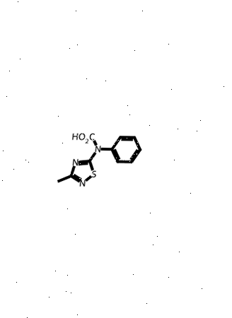 Cc1nsc(N(C(=O)O)c2ccccc2)n1